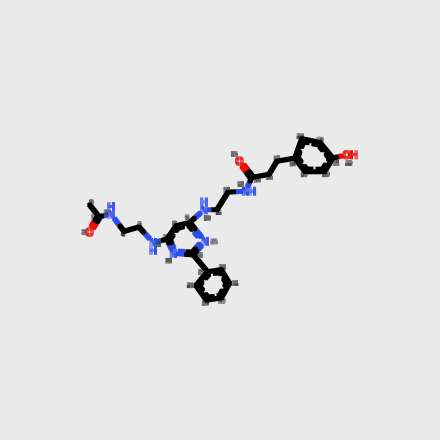 CC(=O)NCCNc1cc(NCCNC(=O)CCc2ccc(O)cc2)nc(-c2ccccc2)n1